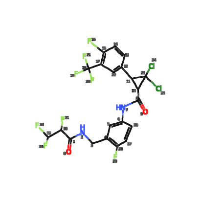 O=C(NCc1cc(NC(=O)C2C(c3ccc(F)c(C(F)(F)F)c3)C2(Cl)Cl)ccc1F)C(F)C(F)F